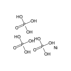 O=P(O)(O)O.O=P(O)(O)O.O=P(O)(O)O.[Ni]